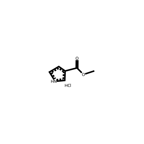 COC(=O)c1cc[nH]c1.Cl